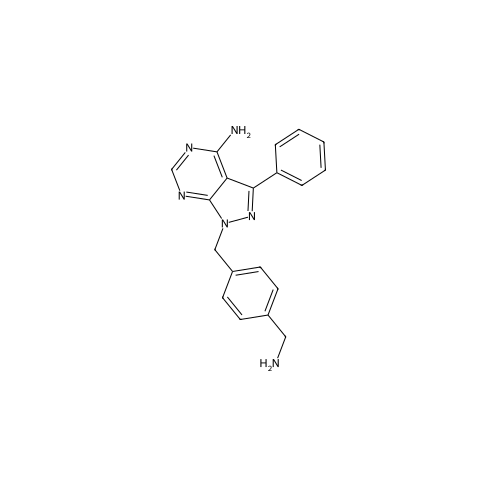 NCc1ccc(Cn2nc(-c3ccccc3)c3c(N)ncnc32)cc1